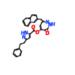 O=C(OC1=CC(Cc2ccc3ccccc3c2)=NNC2OC12)c1cc(CCc2ccccc2)n[nH]1